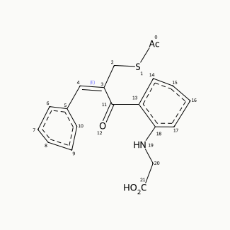 CC(=O)SC/C(=C/c1ccccc1)C(=O)c1ccccc1NCC(=O)O